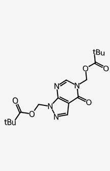 CC(C)(C)C(=O)OCn1cnc2c(cnn2COC(=O)C(C)(C)C)c1=O